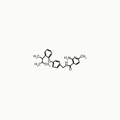 Cc1ccc(C(=O)NCc2ccc(Oc3ccccc3C(C)C(C)C)cc2)c(N)n1